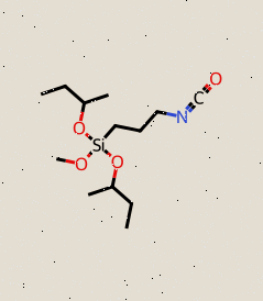 CCC(C)O[Si](CCCN=C=O)(OC)OC(C)CC